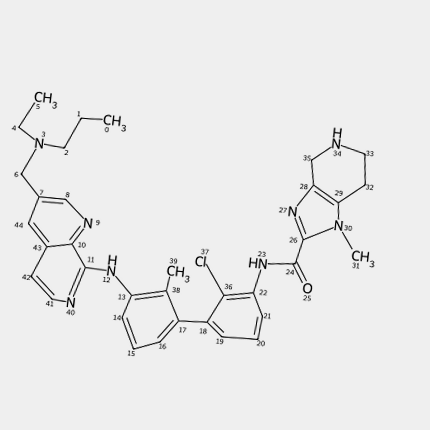 CCCN(CC)Cc1cnc2c(Nc3cccc(-c4cccc(NC(=O)c5nc6c(n5C)CCNC6)c4Cl)c3C)nccc2c1